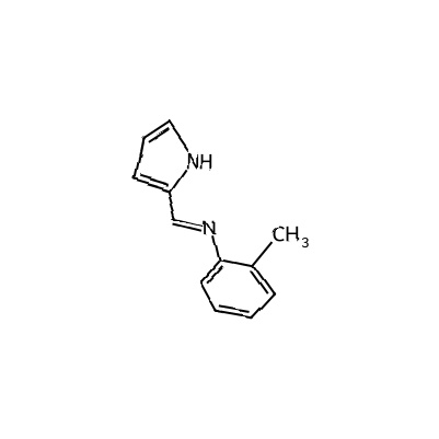 Cc1ccccc1/N=C/c1ccc[nH]1